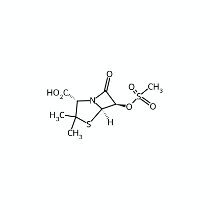 CC1(C)S[C@@H]2[C@H](OS(C)(=O)=O)C(=O)N2[C@H]1C(=O)O